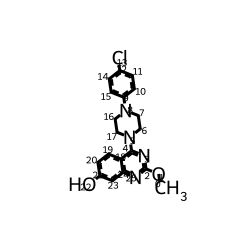 COc1nc(N2CCN(c3ccc(Cl)cc3)CC2)c2ccc(O)cc2n1